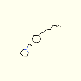 CCCCCC[C@H]1CC[C@H](C=CN2CCCCC2)CC1